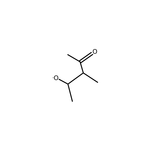 CC(=O)C(C)C(C)[O]